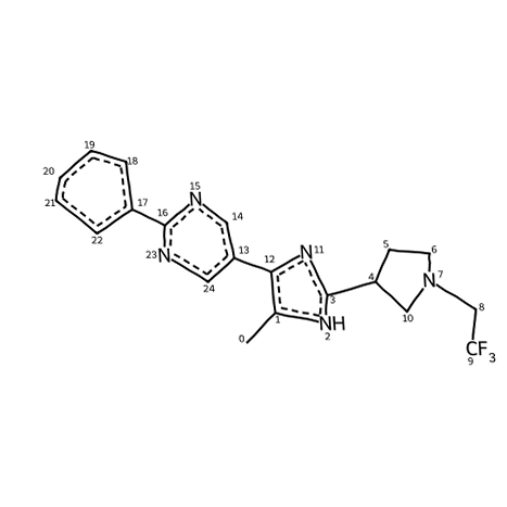 Cc1[nH]c(C2CCN(CC(F)(F)F)C2)nc1-c1cnc(-c2ccccc2)nc1